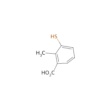 Cc1c(S)cccc1C(=O)O